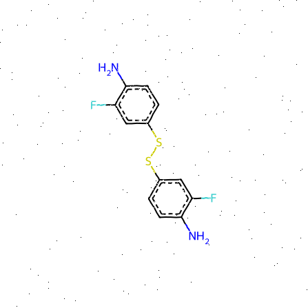 Nc1ccc(SSc2ccc(N)c(F)c2)cc1F